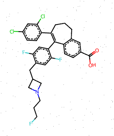 O=C(O)c1ccc2c(c1)CCCC(c1ccc(Cl)cc1Cl)=C2c1cc(F)c(CC2CN(CCCF)C2)cc1F